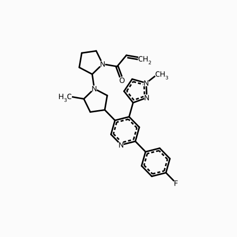 C=CC(=O)N1CCCC1N1CC(c2cnc(-c3ccc(F)cc3)cc2-c2ccn(C)n2)CC1C